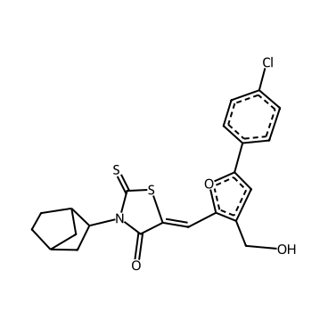 O=C1/C(=C/c2oc(-c3ccc(Cl)cc3)cc2CO)SC(=S)N1C1CC2CCC1C2